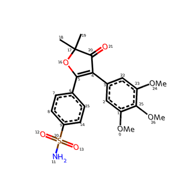 COc1cc(C2=C(c3ccc(S(N)(=O)=O)cc3)OC(C)(C)C2=O)cc(OC)c1OC